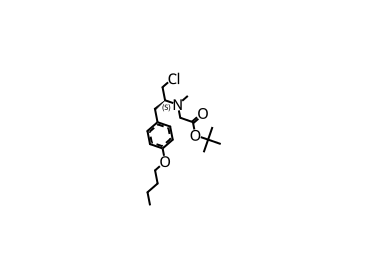 CCCCOc1ccc(C[C@@H](CCl)N(C)CC(=O)OC(C)(C)C)cc1